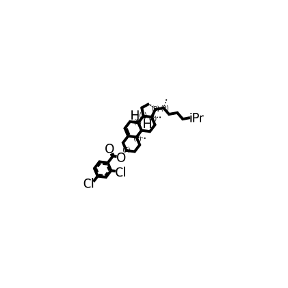 CC(C)CCC[C@@H](C)[C@H]1CC[C@H]2[C@@H]3CC=C4C[C@@H](OC(=O)c5ccc(Cl)cc5Cl)CC[C@]4(C)C3CC[C@]12C